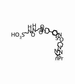 CCCc1cnc(N2CCC(Oc3nc4ccc(C5=CCN(S(=O)(=O)CCNC(=O)NCCS(=O)(=O)O)CC5)cc4s3)CC2)nc1